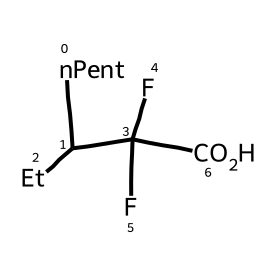 CCCCCC(CC)C(F)(F)C(=O)O